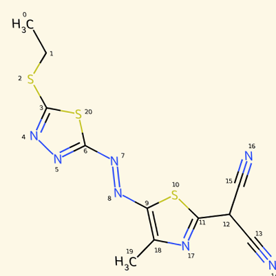 CCSc1nnc(/N=N/c2sc(C(C#N)C#N)nc2C)s1